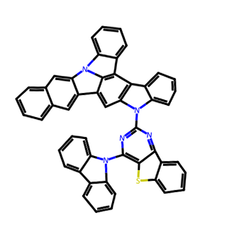 c1ccc2cc3c(cc2c1)c1cc2c(c4ccccc4n2-c2nc(-n4c5ccccc5c5ccccc54)c4sc5ccccc5c4n2)c2c4ccccc4n3c12